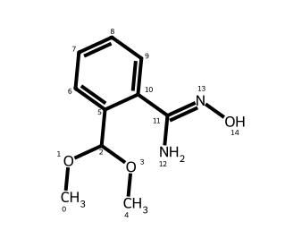 COC(OC)c1ccccc1/C(N)=N/O